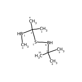 CBC(C)(C)SBC(C)(C)C